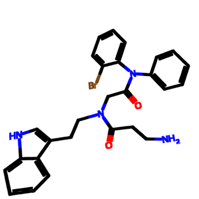 NCCC(=O)N(CCc1c[nH]c2ccccc12)CC(=O)N(c1ccccc1)c1ccccc1Br